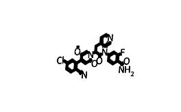 COc1cn(C(Cc2ccncc2)C(=O)Nc2ccc(C(N)=O)c(F)c2)c(=O)cc1-c1cc(Cl)ccc1C#N